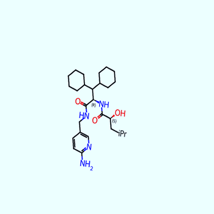 CC(C)C[C@H](O)C(=O)N[C@@H](C(=O)NCc1ccc(N)nc1)C(C1CCCCC1)C1CCCCC1